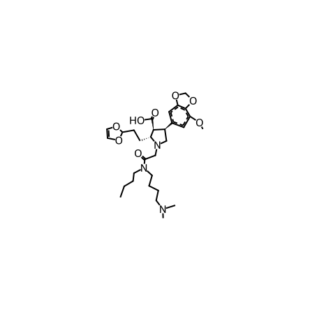 CCCCN(CCCCN(C)C)C(=O)CN1C[C@H](c2cc(OC)c3c(c2)OCO3)[C@H](C(=O)O)[C@H]1CCC1OC=CO1